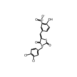 O=C1S/C(=C\c2ccc(O)c([N+](=O)[O-])c2)C(=O)N1Cc1ccc(Cl)c(Cl)c1